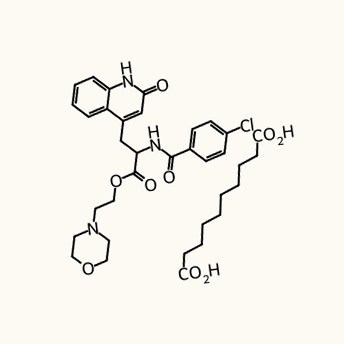 O=C(NC(Cc1cc(=O)[nH]c2ccccc12)C(=O)OCCN1CCOCC1)c1ccc(Cl)cc1.O=C(O)CCCCCCCCC(=O)O